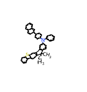 CC1(C)c2ccc(N(c3ccccc3)c3ccc(-c4ccc5ccccc5c4)cc3)cc2-c2cc3sc4ccccc4c3cc21